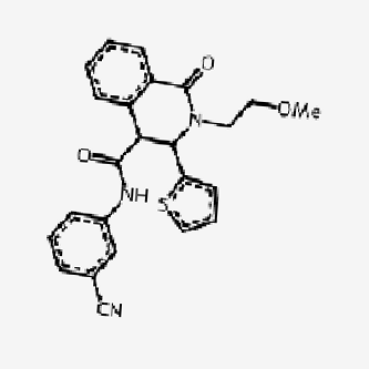 COCCN1C(=O)c2ccccc2C(C(=O)Nc2cccc(C#N)c2)C1c1cccs1